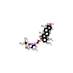 CC(C)[C@H](NC(=O)OC(C)(C)C)C(=O)OCCOC(=O)[C@]12CC[C@@H](C)[C@H](C)[C@H]1C1=CC[C@@H]3[C@@]4(C)CC[C@H](O)C(C)(C)C4CC[C@@]3(C)[C@]1(C)CC2